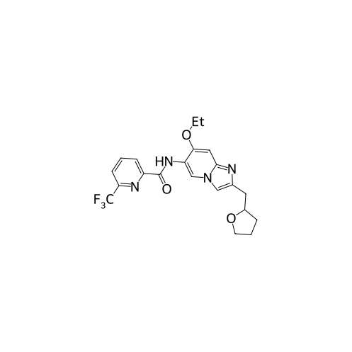 CCOc1cc2nc(CC3CCCO3)cn2cc1NC(=O)c1cccc(C(F)(F)F)n1